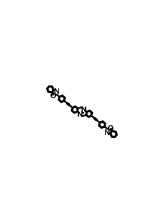 C(#Cc1ccc2c(c1)CN1CN2Cc2cc(C#Cc3ccc(-c4nc5ccccc5o4)cc3)ccc21)c1ccc(-c2nc3ccccc3o2)cc1